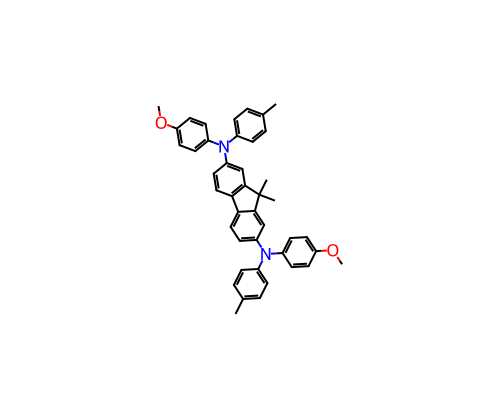 COc1ccc(N(c2ccc(C)cc2)c2ccc3c(c2)C(C)(C)c2cc(N(c4ccc(C)cc4)c4ccc(OC)cc4)ccc2-3)cc1